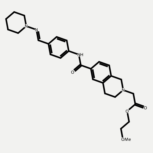 COCCOC(=O)CN1CCc2cc(C(=O)Nc3ccc(C=NN4CCCCC4)cc3)ccc2C1